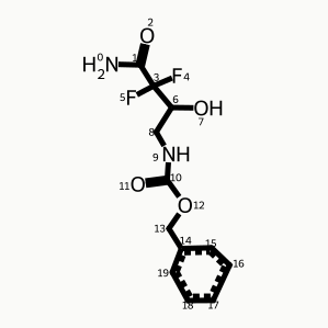 NC(=O)C(F)(F)C(O)CNC(=O)OCc1ccccc1